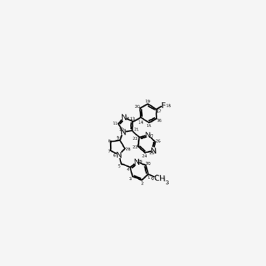 Cc1ccc(CN2CCC(n3cnc(-c4ccc(F)cc4)c3-c3ccncn3)C2)nc1